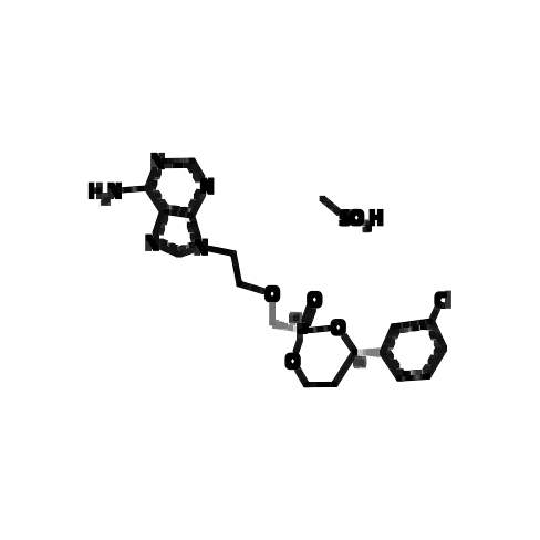 CS(=O)(=O)O.Nc1ncnc2c1ncn2CCOC[P@@]1(=O)OCC[C@@H](c2cccc(Cl)c2)O1